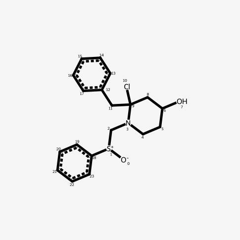 [O-][S+](CN1CCC(O)CC1(Cl)Cc1ccccc1)c1ccccc1